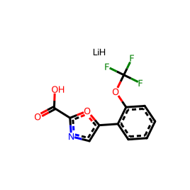 O=C(O)c1ncc(-c2ccccc2OC(F)(F)F)o1.[LiH]